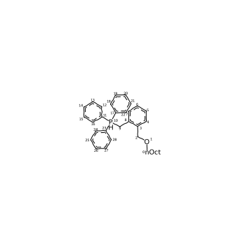 CCCCCCCCOCc1ccccc1C[PH](c1ccccc1)(c1ccccc1)c1ccccc1